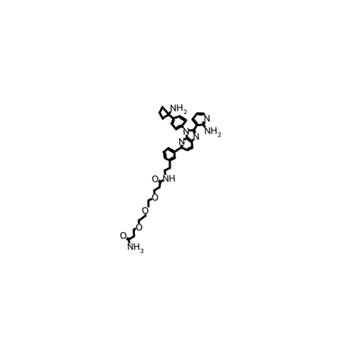 NC(=O)CCOCCOCCOCCC(=O)NCCc1cccc(-c2ccc3nc(-c4cccnc4N)n(-c4ccc(C5(N)CCC5)cc4)c3n2)c1